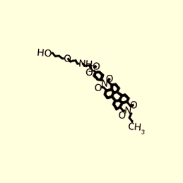 CCCCN1C(=O)c2ccc3c4ccc5c6c(ccc(c7ccc(c2c37)C1=O)c64)C(=O)N(c1ccc(S(=O)(=O)CCNCCCOCCCCO)cc1)C5=O